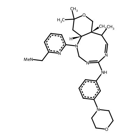 CNCc1cccc(N2C/N=C(Nc3cccc(N4CCOCC4)c3)\N=C/C(C)[C@@]3(C)COC(C)(C)C[C@@H]23)n1